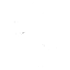 C[C@H](CO)C(=O)N1CCC([C@@H](N)c2cc(Cl)c(Cl)cc2O)CC1